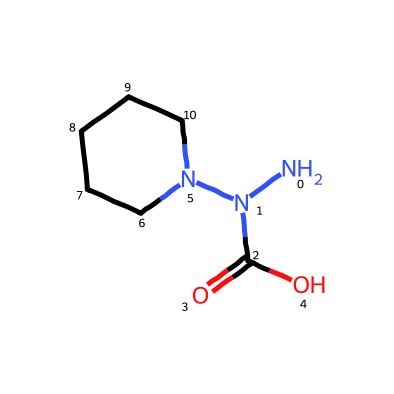 NN(C(=O)O)N1CCCCC1